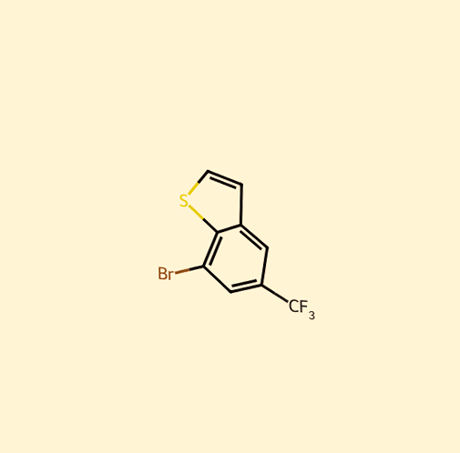 FC(F)(F)c1cc(Br)c2sccc2c1